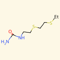 CCSCCSCCNC(N)=O